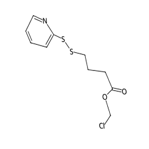 O=C(CCCSSc1ccccn1)OCCl